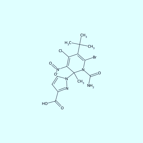 CC(C)(C)C1=C(Br)N(C(N)=O)C(C)(n2ccc(C(=O)O)n2)C([N+](=O)[O-])=C1Cl